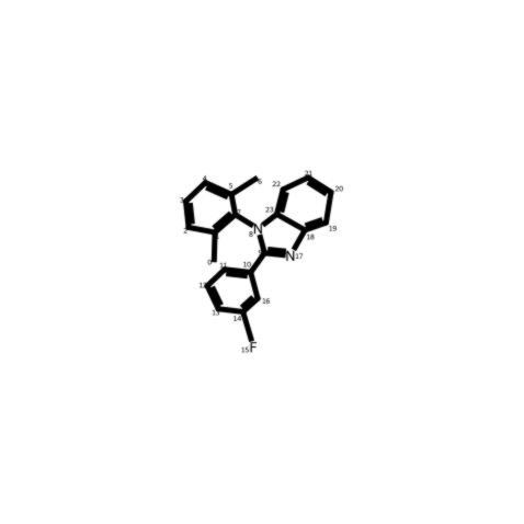 Cc1cccc(C)c1-n1c(-c2cccc(F)c2)nc2ccccc21